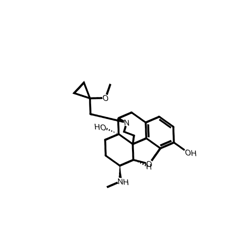 CN[C@H]1CC[C@@]2(O)C3Cc4ccc(O)c5c4C2(CCN3CC2(OC)CC2)[C@H]1O5